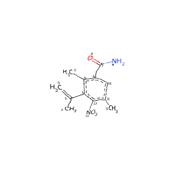 C=C(C)c1c(C)c(C(N)=O)cc(C)c1[N+](=O)[O-]